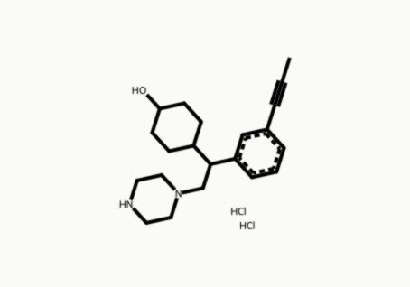 CC#Cc1cccc(C(CN2CCNCC2)C2CCC(O)CC2)c1.Cl.Cl